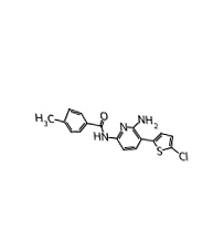 Cc1ccc(C(=O)Nc2ccc(-c3ccc(Cl)s3)c(N)n2)cc1